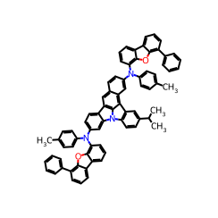 Cc1ccc(N(c2ccc3cc4c5ccc(N(c6ccc(C)cc6)c6cccc7c6oc6c(-c8ccccc8)cccc67)cc5n5c6ccc(C(C)C)cc6c(c3c2)c45)c2cccc3c2oc2c(-c4ccccc4)cccc23)cc1